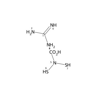 N=C(N)N.O=C(O)N(S)S